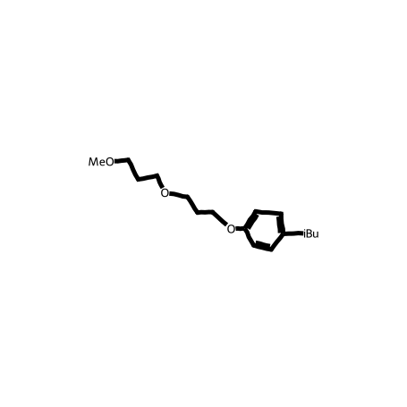 CCC(C)c1ccc(OCCCOCCCOC)cc1